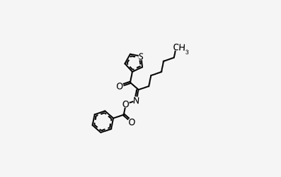 CCCCCCC(=NOC(=O)c1ccccc1)C(=O)c1ccsc1